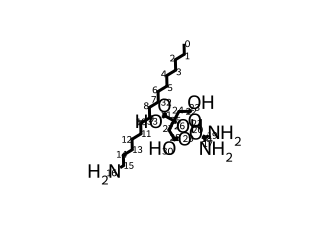 CCCCCCCCCCCCCCCCN.NC(N)=O.O=C(O)CC(O)(CC(=O)O)C(=O)O